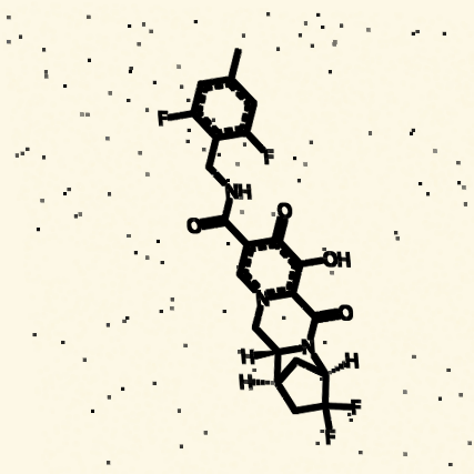 Cc1cc(F)c(CNC(=O)c2cn3c(c(O)c2=O)C(=O)N2[C@@H](C3)[C@H]3C[C@@H]2C(F)(F)C3)c(F)c1